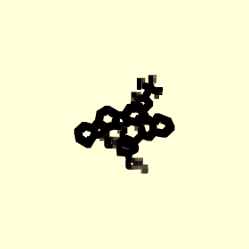 CC1=CC2CCC1C(c1cc3ccccc3c(C3=NN=C(C(F)(F)F)C3)n1)C2n1c2ccccc2c2ccc3c4ccccc4n(C)c3c21